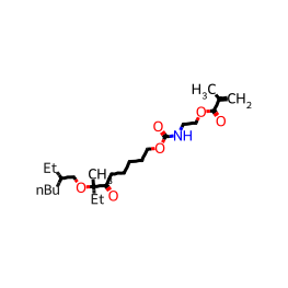 C=C(C)C(=O)OCCNC(=O)OCCCCCC(=O)C(C)(CC)OCC(CC)CCCC